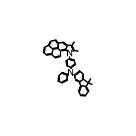 Cc1c(C)n(-c2ccc(N(c3ccccc3)c3ccc4c(c3)-c3ccccc3C4(C)C)cc2)c2c1cc1ccc3cccc4ccc2c1c34